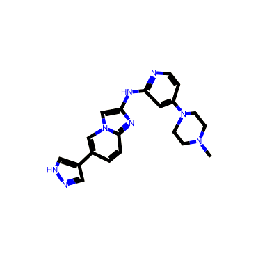 CN1CCN(c2ccnc(Nc3cn4cc(-c5cn[nH]c5)ccc4n3)c2)CC1